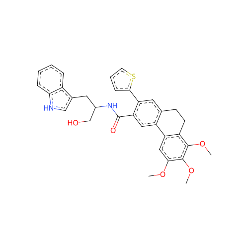 COc1cc2c(c(OC)c1OC)CCc1cc(-c3cccs3)c(C(=O)NC(CO)Cc3c[nH]c4ccccc34)cc1-2